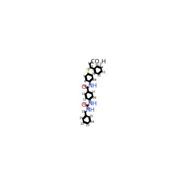 O=C(O)CC(Sc1ccc(NC(=O)c2ccc(NC(=O)NCc3ccccc3)cc2)cc1)c1ccccc1